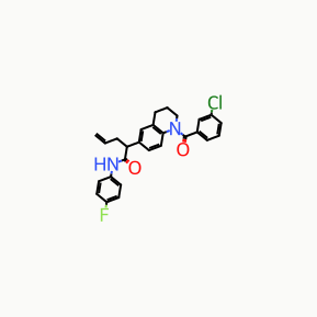 C=CCC(C(=O)Nc1ccc(F)cc1)c1ccc2c(c1)CCCN2C(=O)c1cccc(Cl)c1